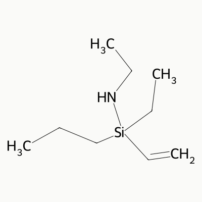 C=C[Si](CC)(CCC)NCC